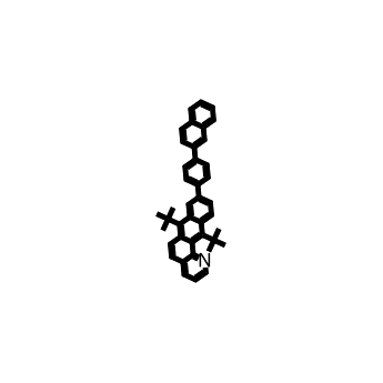 CC(C)(C)c1c2cc(-c3ccc(-c4ccc5ccccc5c4)cc3)ccc2c(C(C)(C)C)c2c1ccc1cccnc12